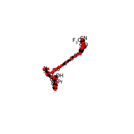 Cc1ncsc1-c1ccc(CNC(=O)[C@@H]2C[C@@H](O)CN2C(=O)[C@H](C(C)C)N2Cc3ccccc3C2=O)c(OCCOCCOCCCCCOCCCCCOCCOCCOc2ccc(N3C(=S)N(c4ccc(C#N)c(C(F)(F)F)c4)C(=O)C3(C)C)cc2)c1